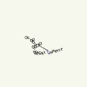 CCCCC/C=C\C/C=C\CCCCCCCC(=O)OCC(COC(=O)CCC(OCCCCCCCC)OCCCCCCCC)COC(=O)OCCCN1CCCCCC1